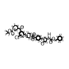 CC(C)(C)OC(=O)N1CCCC(C(=O)c2cc(Cl)nc(N3CCN(S(=O)(=O)c4ccc(N5C[C@H](NC(=O)OCc6ccccc6)CC5=O)cc4)CC3)c2)C1